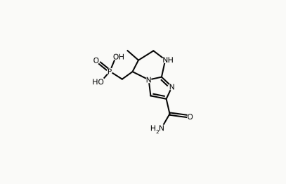 CC1CNc2nc(C(N)=O)cn2C1CP(=O)(O)O